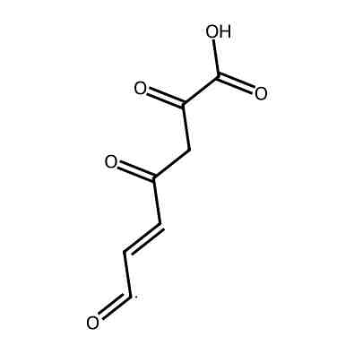 O=[C]/C=C/C(=O)CC(=O)C(=O)O